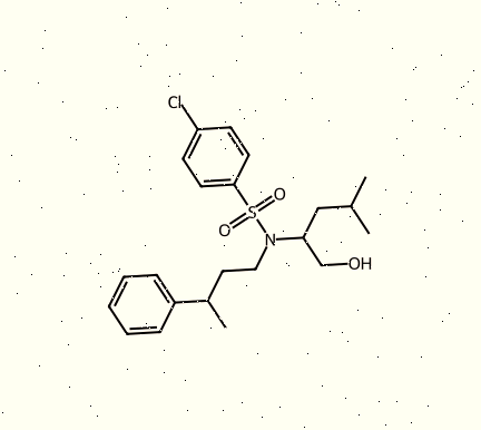 CC(C)CC(CO)N(CCC(C)c1ccccc1)S(=O)(=O)c1ccc(Cl)cc1